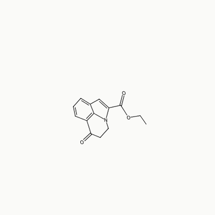 CCOC(=O)c1cc2cccc3c2n1CCC3=O